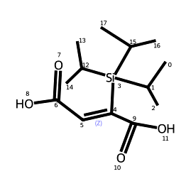 CC(C)[Si](/C(=C\C(=O)O)C(=O)O)(C(C)C)C(C)C